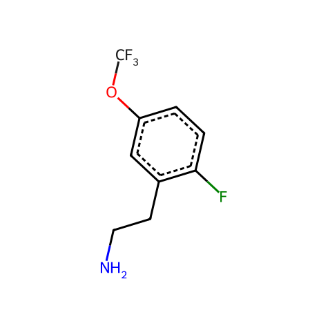 NCCc1cc(OC(F)(F)F)ccc1F